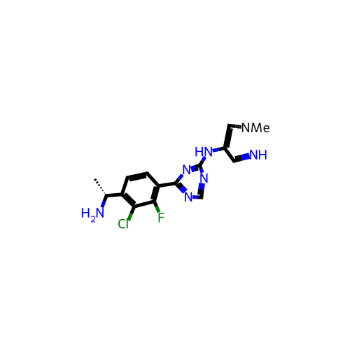 CN/C=C(\C=N)Nc1ncnc(-c2ccc([C@@H](C)N)c(Cl)c2F)n1